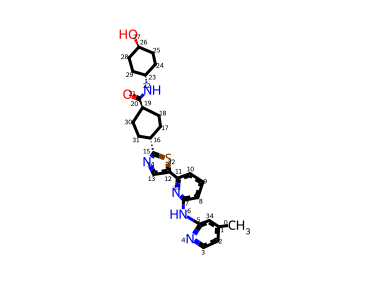 Cc1ccnc(Nc2cccc(-c3cnc([C@H]4CC[C@H](C(=O)N[C@H]5CC[C@H](O)CC5)CC4)s3)n2)c1